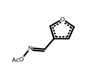 CC(=O)O/N=C/c1ccoc1